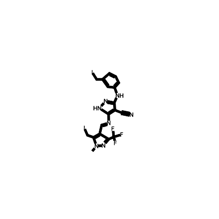 Cn1nc(C(F)(F)F)c(/C=N/c2[nH]nc(Nc3cccc(CI)c3)c2C#N)c1CI